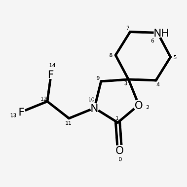 O=C1OC2(CCNCC2)CN1CC(F)F